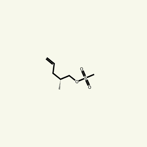 C=CC[C@@H](C)COS(C)(=O)=O